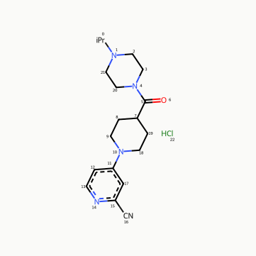 CC(C)N1CCN(C(=O)C2CCN(c3ccnc(C#N)c3)CC2)CC1.Cl